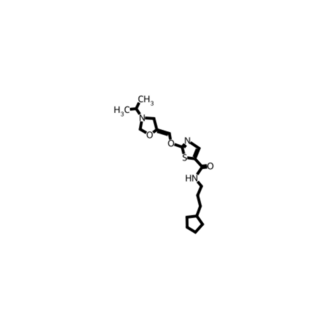 CC(C)N1COC(=COc2ncc(C(=O)NCCCC3CCCC3)s2)C1